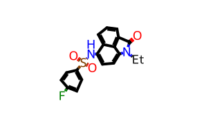 CCN1C(=O)c2cccc3c(NS(=O)(=O)c4ccc(F)cc4)ccc1c23